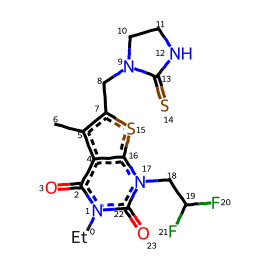 CCn1c(=O)c2c(C)c(CN3CCNC3=S)sc2n(CC(F)F)c1=O